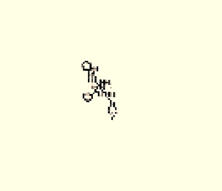 CN1CCN(CCNC2=NC(N)(CCc3nc4ccccc4[nH]3)NC(c3ccccc3)=N2)CC1